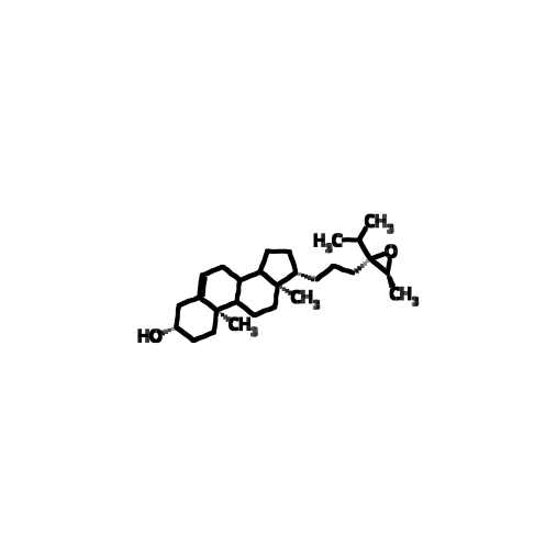 CC(C)[C@@]1(CCC[C@H]2CCC3C4CC=C5C[C@@H](O)CC[C@]5(C)C4CC[C@@]32C)O[C@H]1C